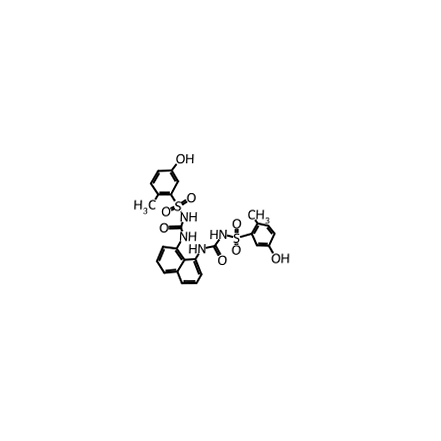 Cc1ccc(O)cc1S(=O)(=O)NC(=O)Nc1cccc2cccc(NC(=O)NS(=O)(=O)c3cc(O)ccc3C)c12